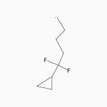 [CH2]CCCC(F)(F)C1CC1